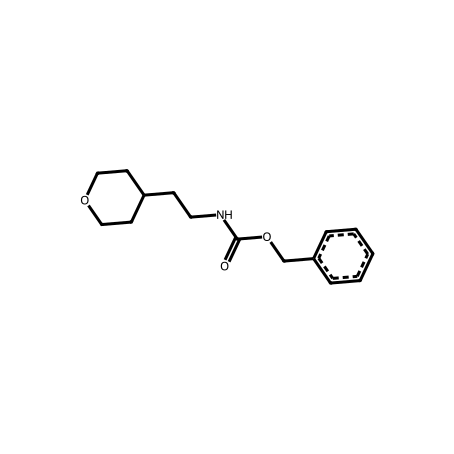 O=C(NCCC1CCOCC1)OCc1ccccc1